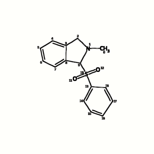 CN1Cc2ccccc2C1S(=O)(=O)c1ccccc1